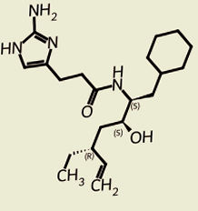 C=C[C@H](CC)C[C@H](O)[C@H](CC1CCCCC1)NC(=O)CCc1c[nH]c(N)n1